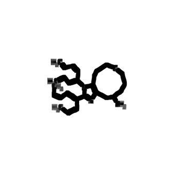 BC1CCCCCCCc2c(nc(C(/C=C\C)=C/C=C\C)n2C(/C=C\C=C)=C/C=C)C1